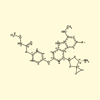 CNc1cc(F)cc2c1[nH]c1nc(Oc3cnc(CC(=O)NOC)nc3)nc(N3C[C@H](N)C4(CC4)C3)c12